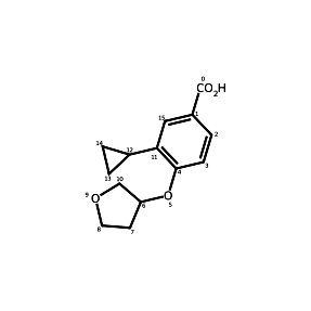 O=C(O)c1ccc(OC2CCOC2)c(C2CC2)c1